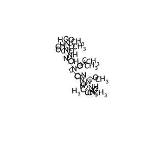 COC(=O)N[C@H](C(=O)N1C[C@@H](OC)C[C@H]1c1nc2cc([C@H]3CC[C@H](c4ccc5[nH]c([C@@H]6C[C@H](OC)CN6C(=O)[C@@H](NC(=O)O)C(C)C)nc5c4)N3c3ccc(C(C)(C)C)cc3)ccc2[nH]1)C(C)C